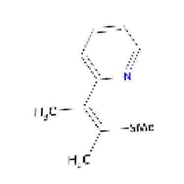 CS/C(C)=C(/C)c1ccccn1